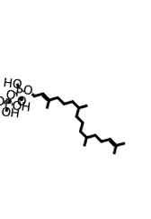 CC(C)=CCCC(C)CCCC(C)CCC/C(C)=C/COP(=O)(O)OP(=O)(O)O